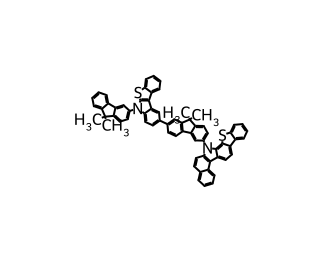 CC1(C)c2ccccc2-c2cc(-n3c4ccc(-c5ccc6c(c5)C(C)(C)c5ccc(-n7c8ccc9ccccc9c8c8ccc9c%10ccccc%10sc9c87)cc5-6)cc4c4c5ccccc5sc43)ccc21